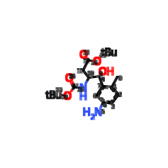 Cc1ccc(N)cc1C(O)C(CC(=O)OC(C)(C)C)NC(=O)OC(C)(C)C